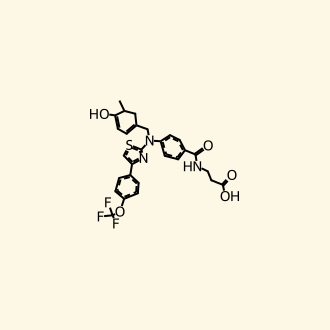 CC1CC(CN(c2ccc(C(=O)NCCC(=O)O)cc2)c2nc(-c3ccc(OC(F)(F)F)cc3)cs2)=CC=C1O